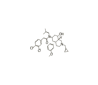 COc1cccc([C@@]23CCN(CC4CC4)C[C@H]2C(O)C[C@H](N(CC(C)C)C(=O)Cc2ccc(Cl)c(Cl)c2)C3)c1